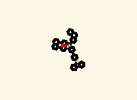 c1ccc(-c2cccc3cccc(-c4ccc(N(c5ccc(-c6ccc(-n7c8ccccc8c8ccccc87)cc6)cc5)c5ccc6ccc7ccccc7c6c5)cc4)c23)cc1